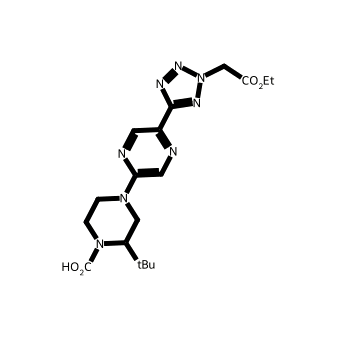 CCOC(=O)Cn1nnc(-c2cnc(N3CCN(C(=O)O)C(C(C)(C)C)C3)cn2)n1